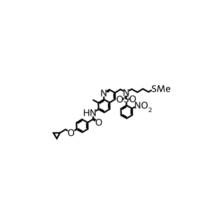 CSCCCCN(Cc1cnc2c(C)c(NC(=O)c3ccc(OCC4CC4)cc3)ccc2c1)S(=O)(=O)c1ccccc1[N+](=O)[O-]